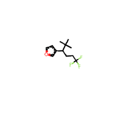 CC(C)(C)C(CCC(F)(F)F)c1ccoc1